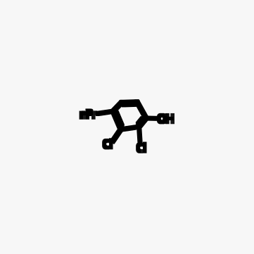 CCCc1ccc(O)c(Cl)c1Cl